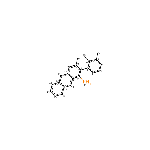 Cc1cccc(-c2c(C)cc3cc4ccccc4cc3c2P)c1C